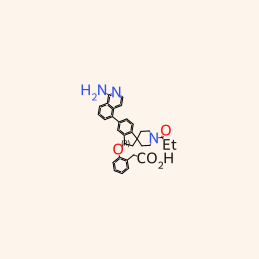 CCC(=O)N1CCC2(CC1)C[C@@H](Oc1ccccc1CC(=O)O)c1cc(-c3cccc4c(N)nccc34)ccc12